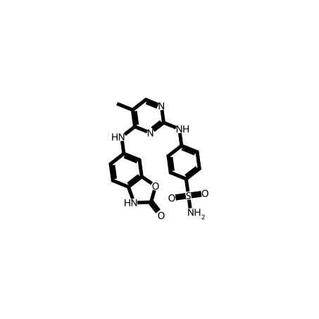 Cc1cnc(Nc2ccc(S(N)(=O)=O)cc2)nc1Nc1ccc2[nH]c(=O)oc2c1